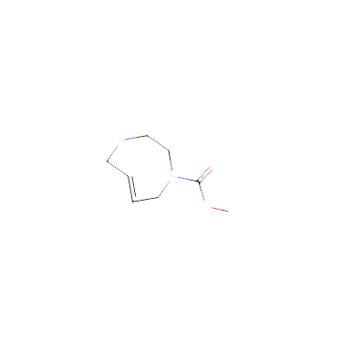 CC(C)(C)OC(=O)N1C/C=C/CNCC1